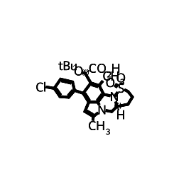 Cc1c([C@H](OC(C)(C)C)C(=O)O)c(-c2ccc(Cl)cc2)c2cc(C)n3c2c1N1[C@@H](CCCS1(=O)=O)C3